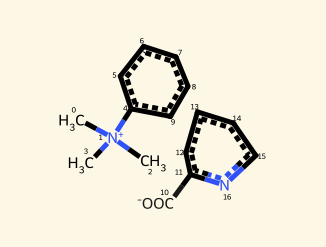 C[N+](C)(C)c1ccccc1.O=C([O-])c1ccccn1